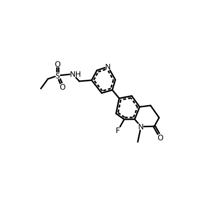 CCS(=O)(=O)NCc1cncc(-c2cc(F)c3c(c2)CCC(=O)N3C)c1